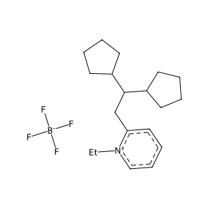 CC[n+]1ccccc1CC(C1CCCC1)C1CCCC1.F[B-](F)(F)F